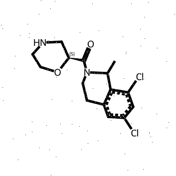 CC1c2c(Cl)cc(Cl)cc2CCN1C(=O)[C@@H]1CNCCO1